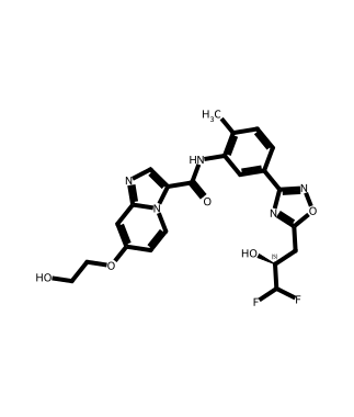 Cc1ccc(-c2noc(C[C@H](O)C(F)F)n2)cc1NC(=O)c1cnc2cc(OCCO)ccn12